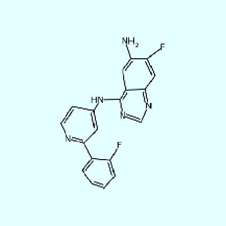 Nc1cc2c(Nc3ccnc(-c4ccccc4F)c3)ncnc2cc1F